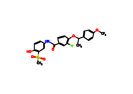 CC(Oc1ccc(C(=O)Nc2ccc(O)c(S(C)(=O)=O)c2)cc1F)c1ccc(OC(F)(F)F)cc1